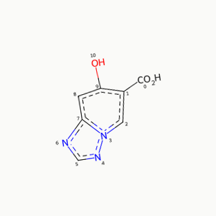 O=C(O)c1cn2ncnc2cc1O